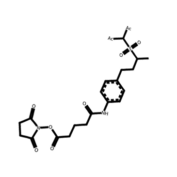 CC(=O)C(C(C)=O)S(=O)(=O)C(C)CCc1ccc(NC(=O)CCCC(=O)ON2C(=O)CCC2=O)cc1